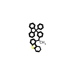 C[C@@H](c1cccc(C2(c3ccccc3)c3ccccc3-c3ccccc32)c1)c1cccc2sc3c(c12)CCC=C3